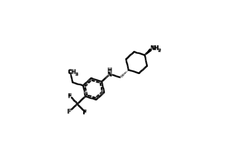 CCc1cc(NC[C@H]2CC[C@H](N)CC2)ccc1C(F)(F)F